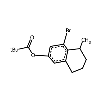 CC1CCCc2cc(OC(=O)C(C)(C)C)cc(Br)c21